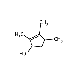 CC1=C(C)C(C)CC1C